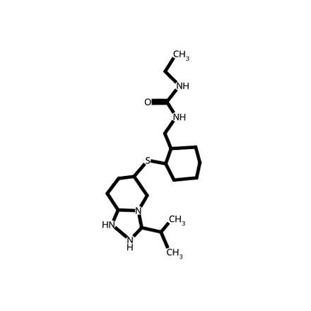 CCNC(=O)NCC1CCCCC1SC1CCC2NNC(C(C)C)N2C1